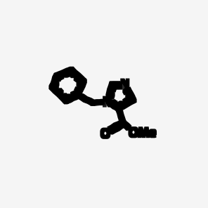 COC(=O)c1cncn1Cc1ccccc1